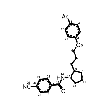 CC(=O)c1ccc(OCCCC2CCCN2NC(=O)c2ccc(C#N)cc2)cc1